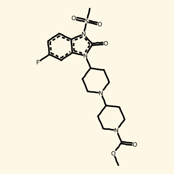 COC(=O)N1CCC(N2CCC(n3c(=O)n(S(C)(=O)=O)c4ccc(F)cc43)CC2)CC1